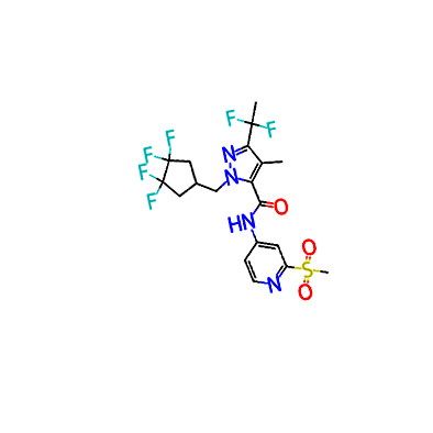 Cc1c(C(C)(F)F)nn(CC2CC(F)(F)C(F)(F)C2)c1C(=O)Nc1ccnc(S(C)(=O)=O)c1